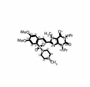 CCCn1c(=O)c2c(nc(/C=C/c3cc(OC)c(OC)cc3S(=O)(=O)N3CCN(C)CC3)n2C)n(CCC)c1=O